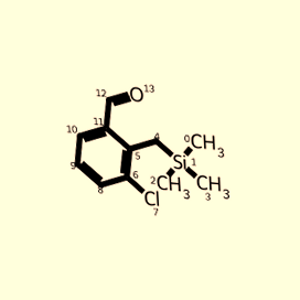 C[Si](C)(C)Cc1c(Cl)cccc1C=O